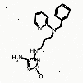 Nc1n[s+]([O-])nc1NCCCN(Cc1ccccc1)c1ccccn1